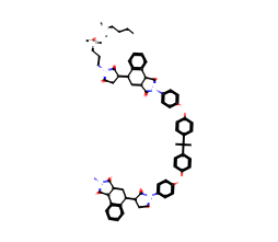 CCCC[Si](C)(C)O[Si](C)(C)CCCN1C(=O)CC(C2CC3C(=O)N(c4ccc(Oc5ccc(C(C)(C)c6ccc(Oc7ccc(N8C(=O)CC(C9CC%10C(=O)N(C)C(=O)C%10c%10ccccc%109)C8=O)cc7)cc6)cc5)cc4)C(=O)C3c3ccccc32)C1=O